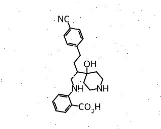 N#Cc1ccc(CCC(CNc2ccccc2C(=O)O)C2(O)CCNCC2)cc1